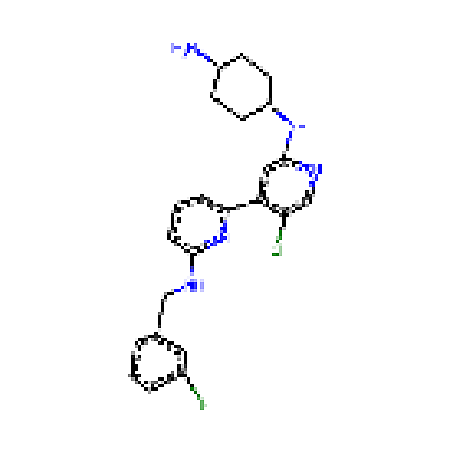 N[C@H]1CC[C@@H](Nc2cc(-c3cccc(NCc4cccc(F)c4)n3)c(Cl)cn2)CC1